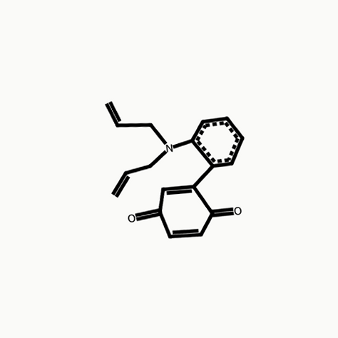 C=CCN(CC=C)c1ccccc1C1=CC(=O)C=CC1=O